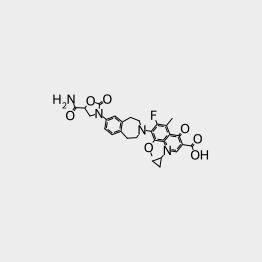 COc1c(N2CCc3ccc(N4CC(C(N)=O)OC4=O)cc3CC2)c(F)c(C)c2c(=O)c(C(=O)O)cn(C3CC3)c12